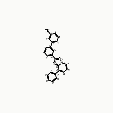 Clc1cccc(-c2cccc(-c3nc4c(-c5ccccc5)cccn4n3)c2)c1